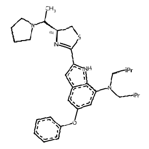 CC(C)CN(CC(C)C)c1cc(Oc2ccccc2)cc2cc(C3=N[C@@H](C(C)N4CCCC4)CS3)[nH]c12